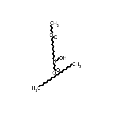 CCCCCCCCCC(CCCCCCCCC)OC(=O)CCCN(CCO)CCCCCCCCCC(=O)OCCCCC